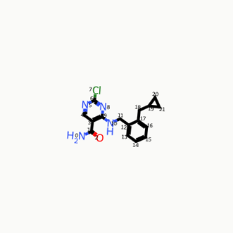 NC(=O)c1cnc(Cl)nc1NCc1ccccc1CC1CC1